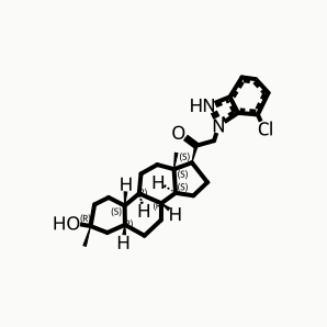 C[C@@]1(O)CC[C@H]2[C@H](CC[C@@H]3[C@@H]2CC[C@]2(C)[C@@H](C(=O)Cn4[nH]c5cccc(Cl)c54)CC[C@@H]32)C1